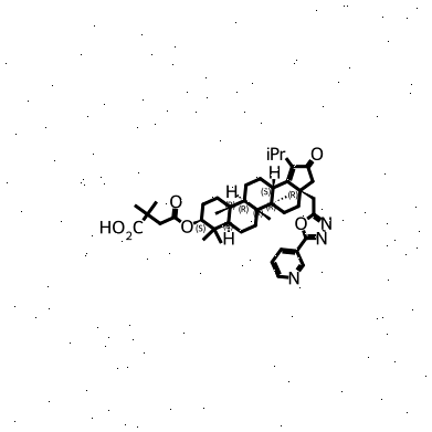 CC(C)C1=C2[C@H]3CC[C@@H]4[C@@]5(C)CC[C@H](OC(=O)CC(C)(C)C(=O)O)C(C)(C)[C@@H]5CC[C@@]4(C)[C@]3(C)CC[C@@]2(Cc2nnc(-c3cccnc3)o2)CC1=O